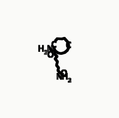 NC(=O)CCCCCCCC1(C(N)=O)CCCCCCCCCCCCC1